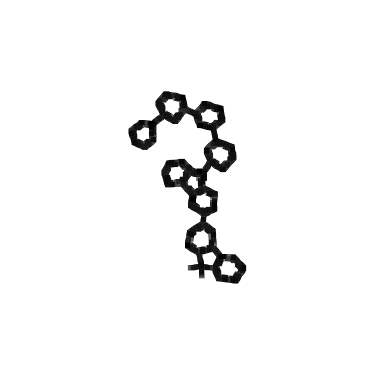 CC1(C)c2ccccc2-c2cc(-c3ccc4c(c3)c3ccccc3n4-c3cccc(-c4cccc(-c5cccc(-c6ccccc6)c5)c4)c3)ccc21